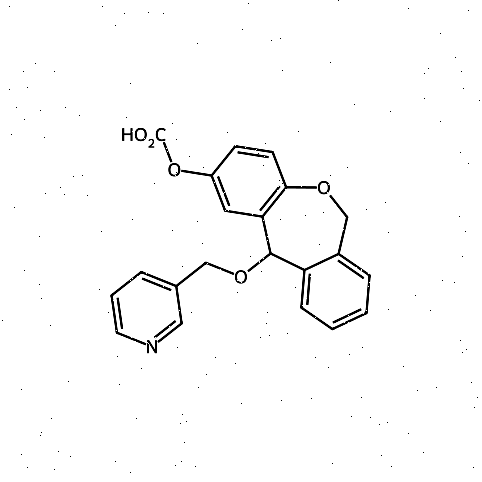 O=C(O)Oc1ccc2c(c1)C(OCc1cccnc1)c1ccccc1CO2